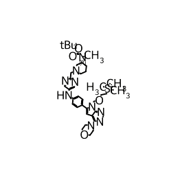 CN(C(=O)OC(C)(C)C)[C@@H]1CCCN(Cc2ncc(Nc3ccc(-c4cc5c(N6CCOCC6)ncnc5n4COCC[Si](C)(C)C)cc3)cn2)C1